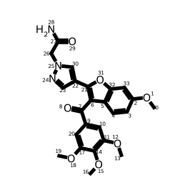 COc1ccc2c(C(=O)c3cc(OC)c(OC)c(OC)c3)c(-c3cnn(CC(N)=O)c3)oc2c1